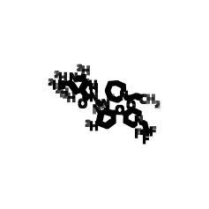 [2H]c1nc(C([2H])([2H])[2H])c([2H])c(C(=O)Nc2nc3c([2H])ccc(OC4CCN(CC(F)(F)F)CC4)c3n2[C@@H]2CCCCN(C(=O)C=C)C2)c1[2H]